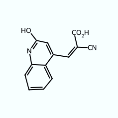 N#CC(=Cc1cc(O)nc2ccccc12)C(=O)O